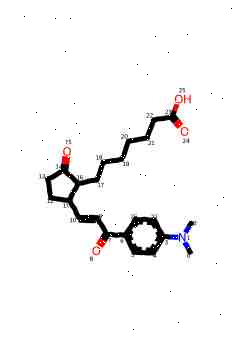 CN(C)c1ccc(C(=O)C=CC2CCC(=O)C2CCCCCCC(=O)O)cc1